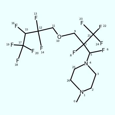 CN1CCN(C(F)C(F)(COCC(F)(F)C(F)C(F)(F)F)C(F)(F)F)CC1